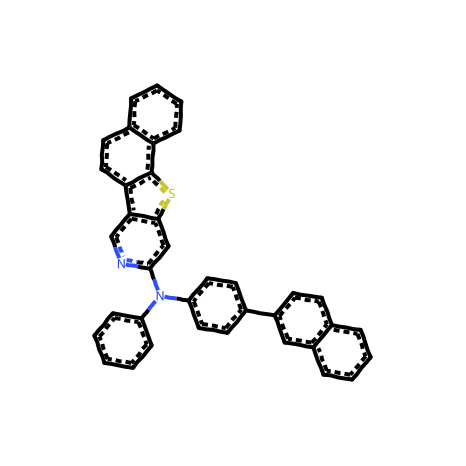 c1ccc(N(c2ccc(-c3ccc4ccccc4c3)cc2)c2cc3sc4c5ccccc5ccc4c3cn2)cc1